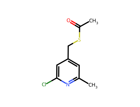 CC(=O)SCc1cc(C)nc(Cl)c1